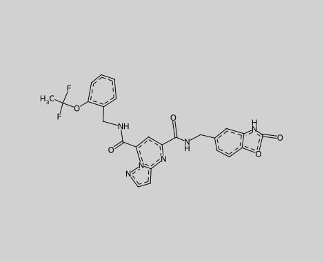 CC(F)(F)Oc1ccccc1CNC(=O)c1cc(C(=O)NCc2ccc3oc(=O)[nH]c3c2)nc2ccnn12